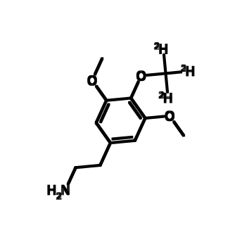 [2H]C([2H])([2H])Oc1c(OC)cc(CCN)cc1OC